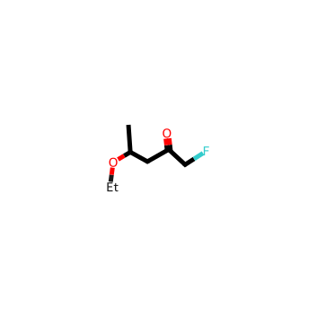 CCOC(C)CC(=O)CF